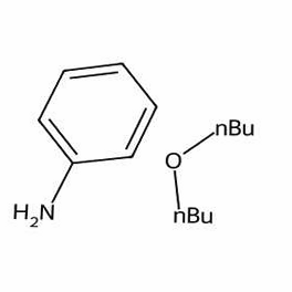 CCCCOCCCC.Nc1ccccc1